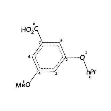 CCCOc1cc(OC)cc(C(=O)O)c1